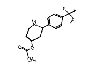 CC(=O)OC1CCNC(c2ccc(C(F)(F)F)cc2)C1